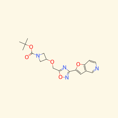 CC(C)(C)OC(=O)N1CC(OCc2nc(-c3cc4cnccc4o3)no2)C1